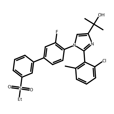 CCS(=O)(=O)c1cccc(-c2ccc(-n3cc(C(C)(C)O)nc3-c3c(C)cccc3Cl)c(F)c2)c1